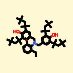 CCc1cccc(CC)c1N(Cc1cc(C(C)(C)CC(C)(C)C)c(O)c(C(C)(C)CC(C)(C)C)c1)Cc1cc(C(C)(C)CC(C)(C)C)c(O)c(C(C)(C)CC(C)(C)C)c1